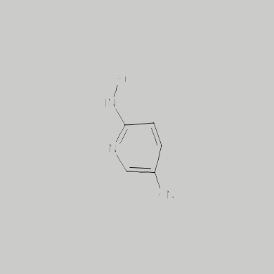 [CH2]CNc1ccc(C#N)cn1